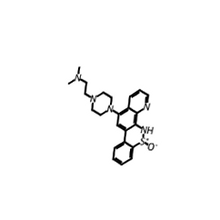 CN(C)CCN1CCN(c2cc3c(c4ncccc24)N[S+]([O-])c2ccccc2-3)CC1